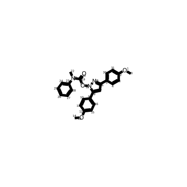 COc1ccc(-c2cc(-c3ccc(OC)cc3)n(OC(=O)N(C)c3ccccc3)n2)cc1